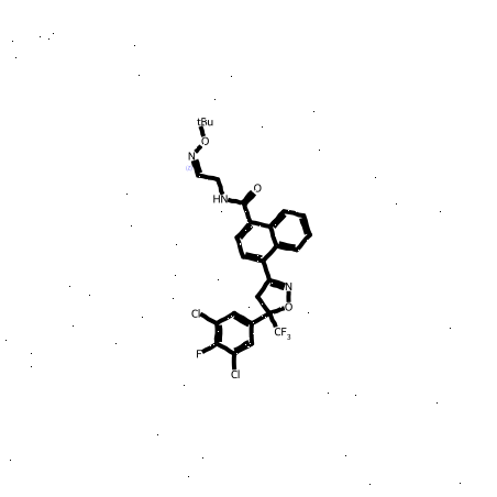 CC(C)(C)O/N=C\CNC(=O)c1ccc(C2=NOC(c3cc(Cl)c(F)c(Cl)c3)(C(F)(F)F)C2)c2ccccc12